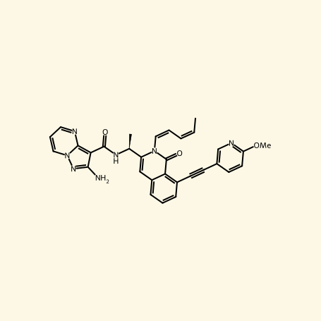 C/C=C\C=C/n1c([C@H](C)NC(=O)c2c(N)nn3cccnc23)cc2cccc(C#Cc3ccc(OC)nc3)c2c1=O